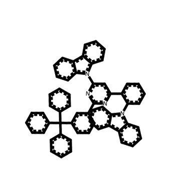 c1ccc(C(c2ccccc2)(c2ccccc2)c2cccc(-c3nc(-c4ccccc4-n4c5ccccc5c5ccccc54)cc(-n4c5ccccc5c5ccccc54)n3)c2)cc1